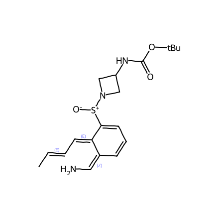 C/C=C/C=c1/c([S+]([O-])N2CC(NC(=O)OC(C)(C)C)C2)ccc/c1=C/N